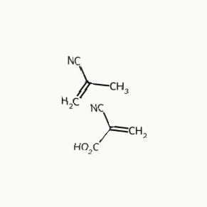 C=C(C#N)C(=O)O.C=C(C)C#N